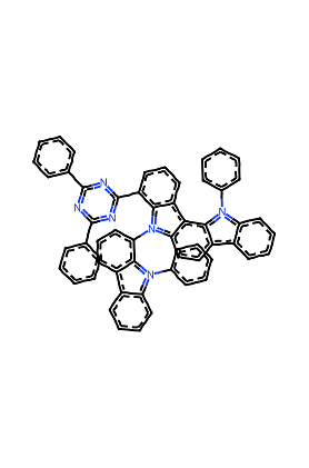 c1ccc(-c2nc(-c3ccccc3)nc(-c3cccc4c5c(ccc6c7ccccc7n(-c7ccccc7)c65)n(-c5cccc6c7ccccc7n(-c7ccccc7)c56)c34)n2)cc1